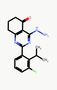 CC(C)c1c(F)cccc1-c1nc2c(c(NN)n1)C(=O)CCC2